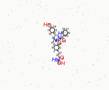 O=C(/C=C/c1ccc(CN(CCc2ccc(O)cc2)C(=O)NC(=O)c2ccccc2)cc1)NO